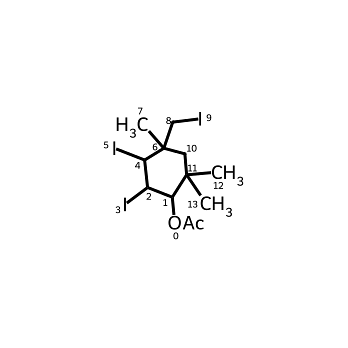 CC(=O)OC1C(I)C(I)C(C)(CI)CC1(C)C